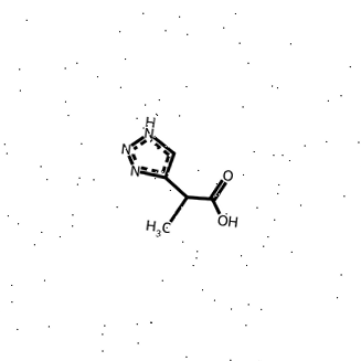 CC(C(=O)O)c1c[nH]nn1